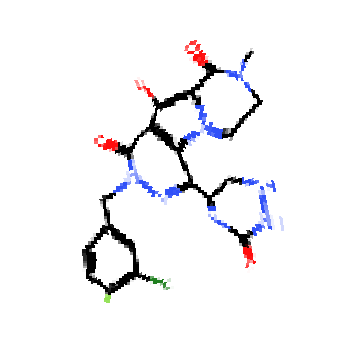 CN1CCn2c(c(O)c3c(=O)n(Cc4ccc(F)c(Cl)c4)nc(C4=NC(=O)NNC4)c32)C1=O